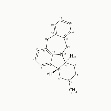 CN1CC[C@H]2[C@H](C1)c1cccc3c1N2Cc1ccccc1C3